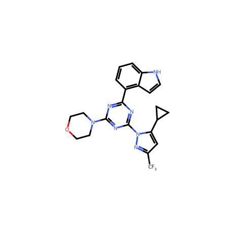 FC(F)(F)c1cc(C2CC2)n(-c2nc(-c3cccc4[nH]ccc34)nc(N3CCOCC3)n2)n1